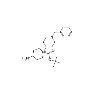 CC(C)(C)OC(=O)[N+]1(C2CCN(Cc3ccccc3)CC2)CCC(N)CC1